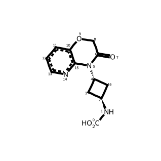 O=C(O)N[C@H]1C[C@H](N2C(=O)COc3cccnc32)C1